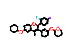 CC1=C(c2cccc(OC3CCCCO3)c2)C(c2ccc(I)cc2F)Oc2ccc(OC3CCCCC3)cc21